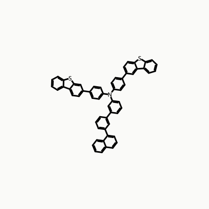 c1cc(-c2cccc(N(c3ccc(-c4ccc5c(c4)sc4ccccc45)cc3)c3ccc(-c4ccc5sc6ccccc6c5c4)cc3)c2)cc(-c2cccc3ccccc23)c1